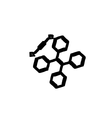 CCC#CCC.c1ccc(C(=C(c2ccccc2)c2ccccc2)c2ccccc2)cc1